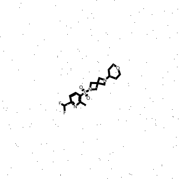 Cc1nc(C(F)F)ccc1S(=O)(=O)N1CC2(CN(C3CCOCC3)C2)C1